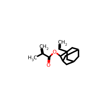 C=CC12CC3CC(CC(C3)C1OC(=O)C(=C)C)C2